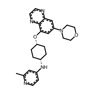 Cc1cc(N[C@H]2CC[C@@H](Oc3cc(N4CCOCC4)cc4nccnc34)CC2)ccn1